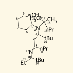 CCC/C(CC(N(C1CCCCC1C)C(C)(C)C(C)C)C(C)(C)C)=N\C(CC)C(C)(C)C